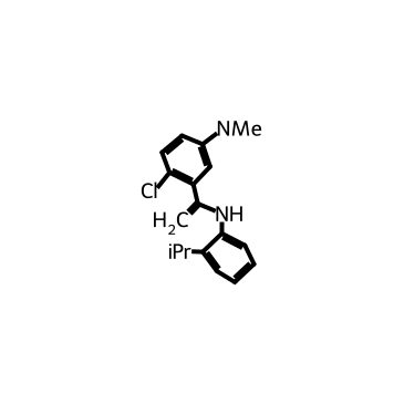 C=C(Nc1ccccc1C(C)C)c1cc(NC)ccc1Cl